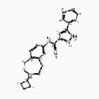 O=C(Nc1ccc2c(c1)CCN(C1CCC1)CC2)c1cc(-c2cccnc2)[nH]n1